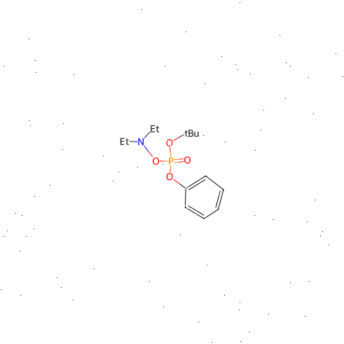 CCN(CC)OP(=O)(Oc1ccccc1)OC(C)(C)C